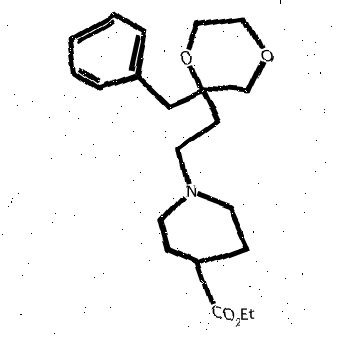 CCOC(=O)C1CCN(CCC2(Cc3ccccc3)COCCO2)CC1